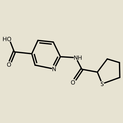 O=C(O)c1ccc(NC(=O)C2CCCS2)nc1